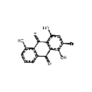 O=C1c2c(O)cccc2C(=O)c2c(O)c(Br)cc(O)c21